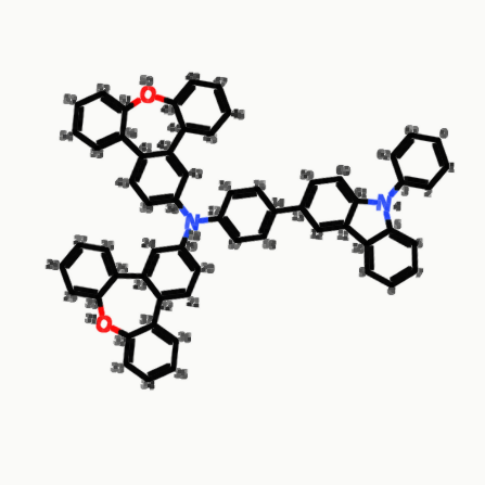 c1ccc(-n2c3ccccc3c3cc(-c4ccc(N(c5ccc6c(c5)-c5ccccc5Oc5ccccc5-6)c5ccc6c(c5)-c5ccccc5Oc5ccccc5-6)cc4)ccc32)cc1